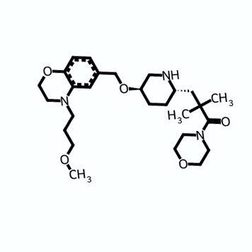 COCCCN1CCOc2ccc(CO[C@@H]3CC[C@@H](CC(C)(C)C(=O)N4CCOCC4)NC3)cc21